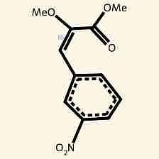 COC(=O)/C(=C\c1cccc([N+](=O)[O-])c1)OC